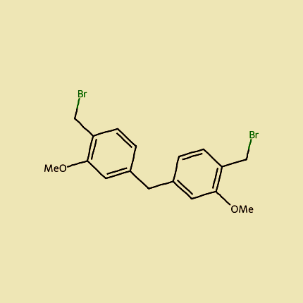 COc1cc(Cc2ccc(CBr)c(OC)c2)ccc1CBr